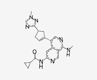 CNc1ncc(C2=CCC(c3ncn(C)n3)C2)c2cc(NC(=O)C3CC3)ncc12